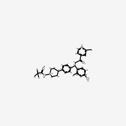 Cc1cc(C(=O)C[C@H](c2ccc(C3CCN(OC(=O)C(C)(C)C)CC3)cc2)c2ccc(Cl)cc2C)ccn1